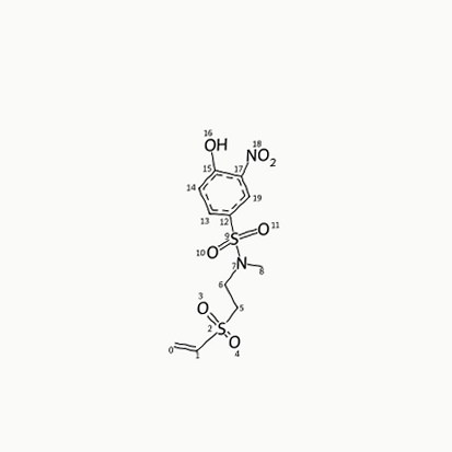 C=CS(=O)(=O)CCN(C)S(=O)(=O)c1ccc(O)c([N+](=O)[O-])c1